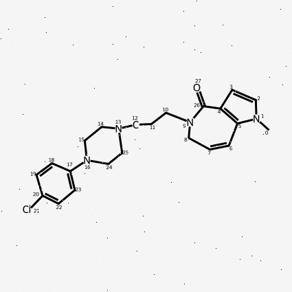 Cn1ccc2c1C=CCN(CCCN1CCN(c3ccc(Cl)cc3)CC1)C2=O